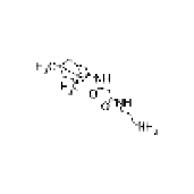 CC12CC3CC(C)(C1)CC(NC(=O)CC(=O)NCCCN)(C3)C2